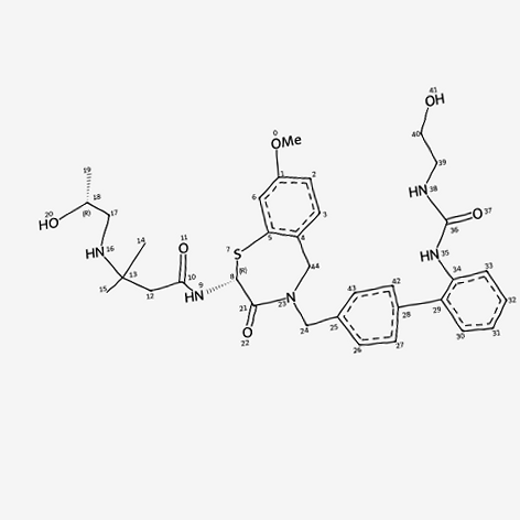 COc1ccc2c(c1)S[C@@H](NC(=O)CC(C)(C)NC[C@@H](C)O)C(=O)N(Cc1ccc(-c3ccccc3NC(=O)NCCO)cc1)C2